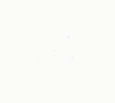 CCC(C(=O)NO)C(C(=O)N1CCCCC1C(=O)O)c1ccc(Cl)cc1